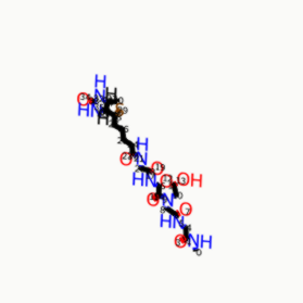 CNC(=O)CNC(=O)CN(CC(=O)O)C(=O)CNC(=O)CNC(=O)CCCCC1SC[C@H]2NC(=O)N[C@@H]12